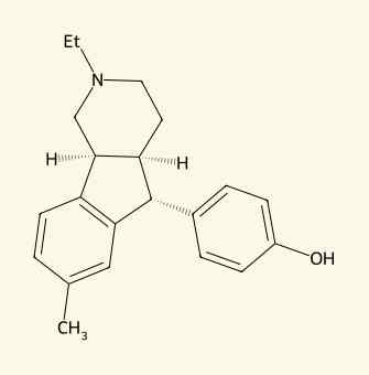 CCN1CC[C@H]2[C@H](c3ccc(O)cc3)c3cc(C)ccc3[C@H]2C1